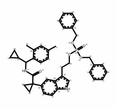 Cc1ccc(C(NC(=O)C2(c3ccc4[nH]cc(CCOP(=O)(OCc5ccccc5)OCc5ccccc5)c4c3)CC2)C2CC2)c(C)c1